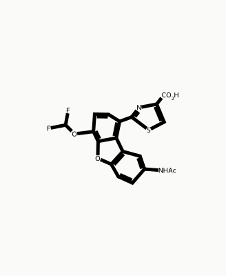 CC(=O)Nc1ccc2oc3c(OC(F)F)ccc(-c4nc(C(=O)O)cs4)c3c2c1